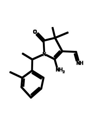 Cc1ccccc1C(C)N1C(=O)C(C)(C)C(C=N)=C1N